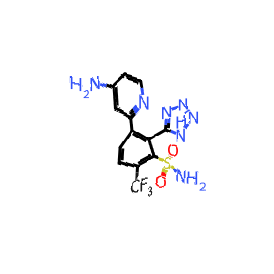 Nc1ccnc(-c2ccc(C(F)(F)F)c(S(N)(=O)=O)c2-c2nnn[nH]2)c1